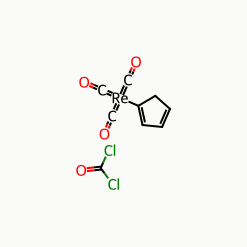 O=C(Cl)Cl.O=[C]=[Re](=[C]=O)(=[C]=O)[C]1=CC=CC1